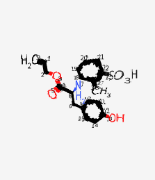 C=CCOC(=O)[C@@H](N)Cc1ccc(O)cc1.Cc1ccccc1S(=O)(=O)O